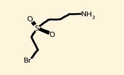 NCCCS(=O)(=O)CCBr